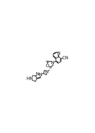 C[C@@H]1CN(c2ccc(C#N)c3ncccc23)C[C@H](CN2CC(n3cc4c(n3)CNCC4)C2)O1